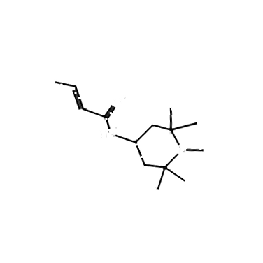 CC=CC(=O)NC1CC(C)(C)N(C)C(C)(C)C1